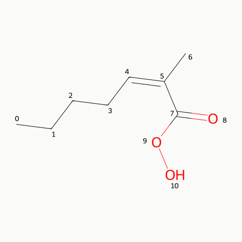 CCCC/C=C(/C)C(=O)OO